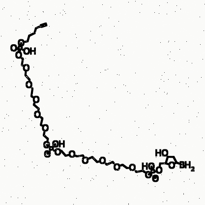 BC1CC(O)C(COP(=O)(O)OCCOCCOCCOCCOCCOCCOP(=O)(O)OCCOCCOCCOCCOCCOCCOP(=O)(O)OCCCCC#C)O1